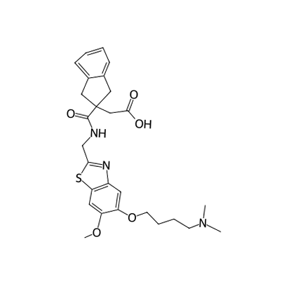 COc1cc2sc(CNC(=O)C3(CC(=O)O)Cc4ccccc4C3)nc2cc1OCCCCN(C)C